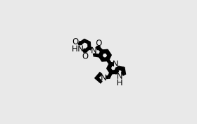 O=C1CCC(N2Cc3cc(-c4cc(CN5CCC5)c5[nH]ccc5n4)ccc3C2=O)C(=O)N1